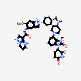 COc1cc2nn([C@H]3CC[C@H](CN(C)C4CCN(c5cccc6c5n(C)c(=O)n6C5CCC(=O)NC5=O)CC4)CC3)cc2cc1NC(=O)c1cnn2cccnc12